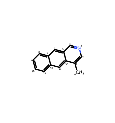 Cc1cncc2cc3ccccc3cc12